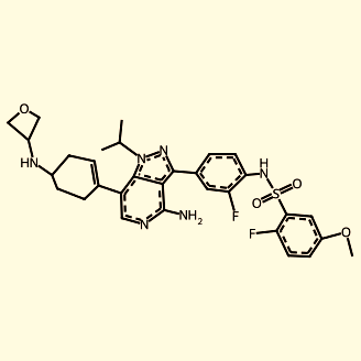 COc1ccc(F)c(S(=O)(=O)Nc2ccc(-c3nn(C(C)C)c4c(C5=CCC(NC6COC6)CC5)cnc(N)c34)cc2F)c1